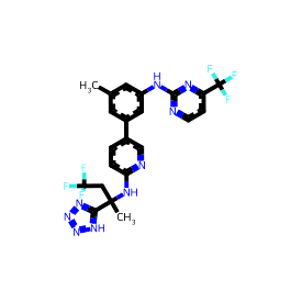 Cc1cc(Nc2nccc(C(F)(F)F)n2)cc(-c2ccc(NC(C)(CC(F)(F)F)c3nnn[nH]3)nc2)c1